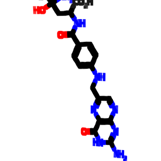 Nc1nc2ncc(CNc3ccc(C(=O)NC(CC(N)(O)C(=O)O)C(=O)O)cc3)nc2c(=O)[nH]1